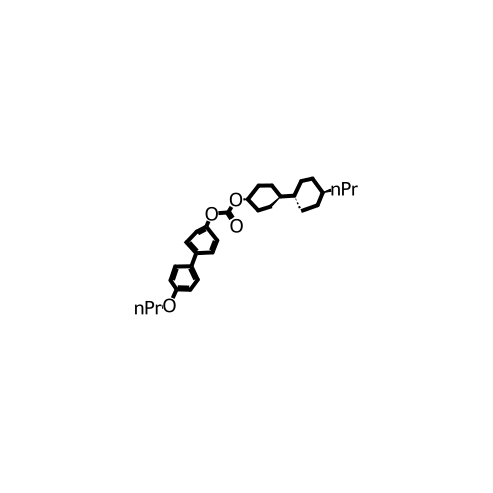 CCCOc1ccc(-c2ccc(OC(=O)O[C@H]3CC[C@H]([C@H]4CC[C@H](CCC)CC4)CC3)cc2)cc1